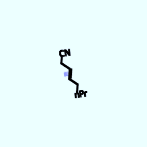 CCCC/C=C/CC#N